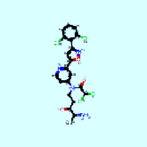 CCC(C)C(N)C(=O)CCN(C(=O)C(Cl)Cl)c1ccnc(-c2cc(-c3c(Cl)cccc3Cl)no2)c1